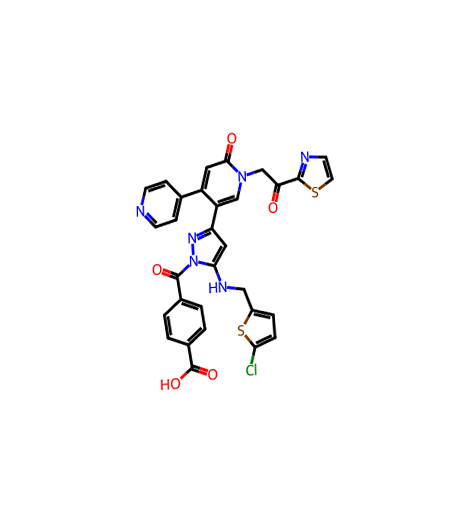 O=C(O)c1ccc(C(=O)n2nc(-c3cn(CC(=O)c4nccs4)c(=O)cc3-c3ccncc3)cc2NCc2ccc(Cl)s2)cc1